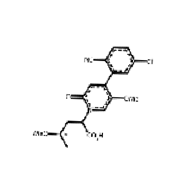 COc1cn(C(C[C@@H](C)OC)C(=O)O)c(=O)cc1-c1cc(Cl)ccc1C#N